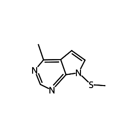 CSn1ccc2c(C)ncnc21